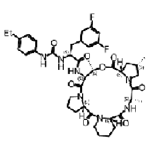 CCc1ccc(NC(=O)N[C@@H](CC2C=C(F)C=C(F)C2)C(=O)N[C@@H]2C(=O)N3CCC[C@H]3C(=O)N3CCCC[C@H]3C(=O)N[C@@H](C)C(=O)N3C[C@@H](C)C[C@H]3C(=O)O[C@H]2C)cc1